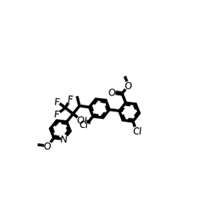 COC(=O)c1ccc(Cl)cc1-c1ccc(C(C)C(O)(c2ccc(OC)nc2)C(F)(F)F)c(Cl)c1